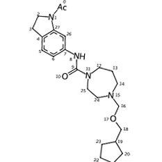 CC(=O)N1CCc2ccc(NC(=O)N3CCCN(COCC4CCCC4)CC3)cc21